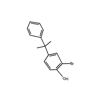 CC(C)(c1ccccc1)c1ccc(O)c(Br)c1